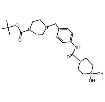 CC(C)(C)OC(=O)N1CCN(Cc2ccc(NC(=O)N3CCS(O)(O)CC3)cc2)CC1